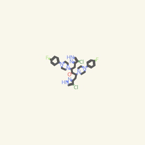 O=C(C(Cc1n[nH]cc1Cl)N1CCN(c2ccc(F)cc2)CC1)C(Cc1n[nH]cc1Cl)N1CCN(c2ccc(F)cc2)CC1